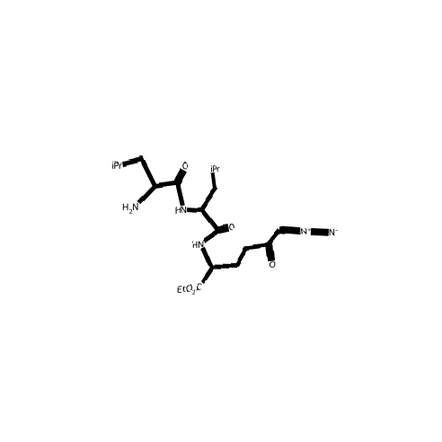 CCOC(=O)C(CCC(=O)C=[N+]=[N-])NC(=O)C(CC(C)C)NC(=O)C(N)CC(C)C